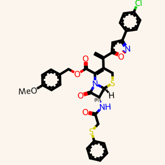 C=C(C1=C(C(=O)OCc2ccc(OC)cc2)N2C(=O)[C@@H](NC(=O)CSc3ccccc3)[C@H]2SC1)c1cc(-c2ccc(Cl)cc2)no1